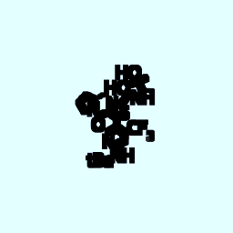 C[C@H](NC(O)c1nc(C(=O)N2CCC[C@@H]2C)c(-c2cnc(NC(C)(C)C)cc2C(F)(F)F)s1)C(C)(C)O